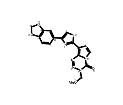 COCn1nnc2c(-c3nc(-c4ccc5c(c4)OCO5)cs3)ncn2c1=O